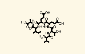 CCC(C)C(NC(=O)C(CCC(=O)O)NC(=O)C(CCC(=O)O)NC(=O)C(NC(=O)C(N)C(C)C)C(C)O)C(=O)NC(C)C(=O)O